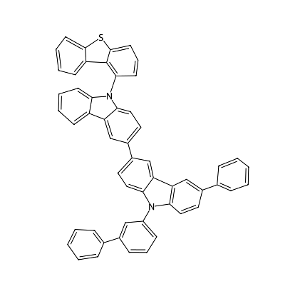 c1ccc(-c2cccc(-n3c4ccc(-c5ccccc5)cc4c4cc(-c5ccc6c(c5)c5ccccc5n6-c5cccc6sc7ccccc7c56)ccc43)c2)cc1